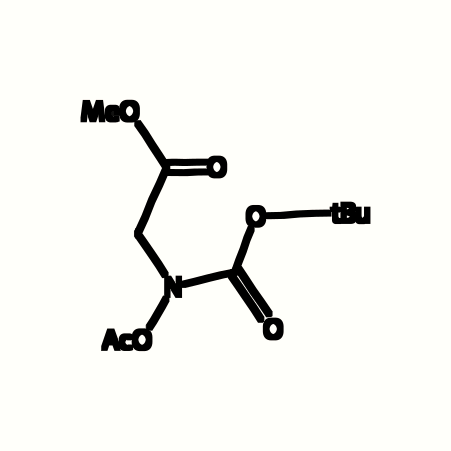 COC(=O)CN(OC(C)=O)C(=O)OC(C)(C)C